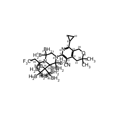 BC1(B)CN(c2nc(C3CC3)c3c(c2C#N)CC(C)(C)OC3)C(B)(B)[C@@](B)(C(B)(C(B)(B)B)C(B)(B)B)N1C(=O)CC(F)(F)F